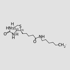 [CH2]CCCCCNC(=O)CCCC[C@@H]1SC[C@@H]2NC(=O)N[C@@H]21